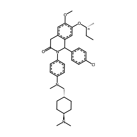 CC[C@@H](C)Oc1cc2c(cc1OC)CC(=O)N(c1ccc(N(C)C[C@H]3CC[C@H](N(C)C)CC3)cc1)C2c1ccc(Cl)cc1